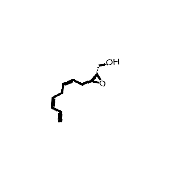 C=C/C=C\C/C=C\CC1O[C@H]1CO